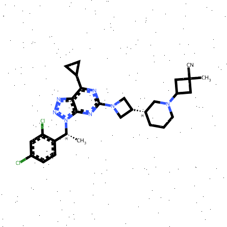 C[C@H](c1ccc(Cl)cc1Cl)n1nnc2c(C3CC3)nc(N3CC([C@H]4CCCN(C5CC(C)(C#N)C5)C4)C3)nc21